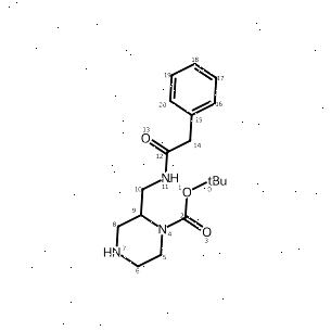 CC(C)(C)OC(=O)N1CCNCC1CNC(=O)Cc1ccccc1